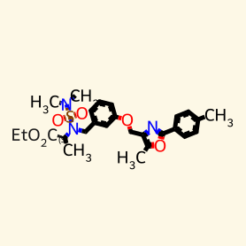 CCOC(=O)[C@H](C)N(Cc1cccc(OCc2nc(-c3ccc(C)cc3)oc2C)c1)S(=O)(=O)N(C)C